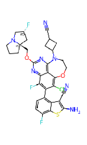 N#Cc1c(N)sc2c(F)ccc(-c3c(Cl)c4c5c(nc(OC[C@@]67CCCN6C[C@H](F)C7)nc5c3F)N(C3CC(C#N)C3)CCO4)c12